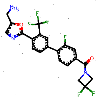 NCc1cnc(-c2ccc(-c3ccc(C(=O)N4CC(F)(F)C4)cc3F)cc2C(F)(F)F)o1